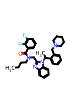 CCCCN(Cc1nc2ccccc2n1C(C)c1ccccc1CN1CCCCC1)C(=O)c1cccc(F)c1F